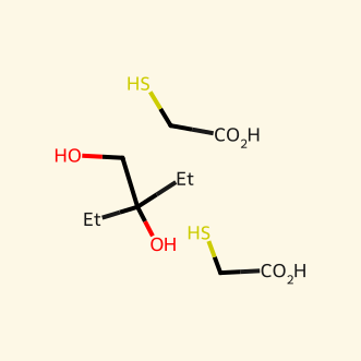 CCC(O)(CC)CO.O=C(O)CS.O=C(O)CS